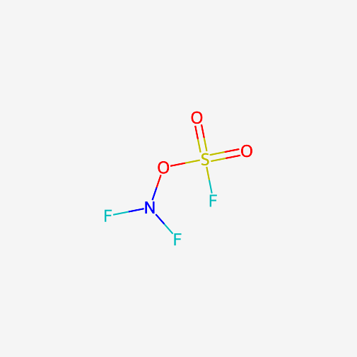 O=S(=O)(F)ON(F)F